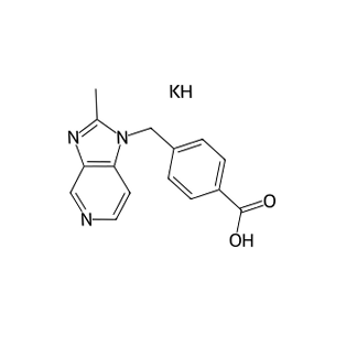 Cc1nc2cnccc2n1Cc1ccc(C(=O)O)cc1.[KH]